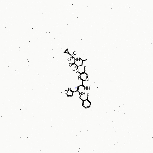 CC(C)C[C@@H](Nc1nc(C(=N)/C=C(\NCc2ccccc2F)c2ccon2)ncc1F)C(=O)NS(=O)(=O)C1CC1